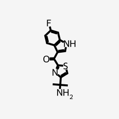 CC(C)(N)c1csc(C(=O)c2c[nH]c3cc(F)ccc23)n1